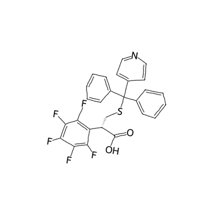 O=C(O)[C@@H](CSC(c1ccccc1)(c1ccccc1)c1ccncc1)c1c(F)c(F)c(F)c(F)c1F